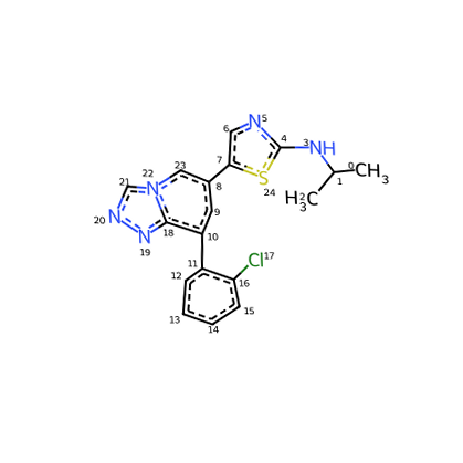 CC(C)Nc1ncc(-c2cc(-c3ccccc3Cl)c3nncn3c2)s1